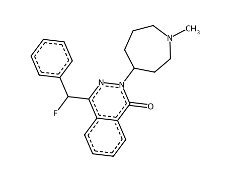 CN1CCCC(n2nc(C(F)c3ccccc3)c3ccccc3c2=O)CC1